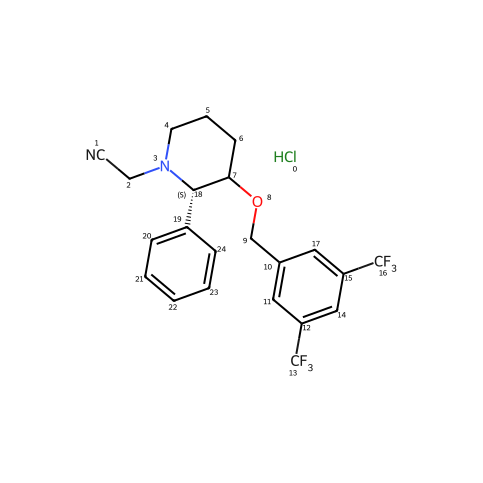 Cl.N#CCN1CCCC(OCc2cc(C(F)(F)F)cc(C(F)(F)F)c2)[C@@H]1c1ccccc1